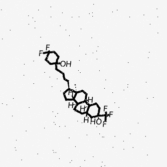 C[C@]12CC[C@H]3[C@@H](CC[C@H]4C[C@](O)(C(F)(F)F)CC[C@@H]43)[C@@H]1CC[C@H]2CCCCC1(O)CCC(F)(F)CC1